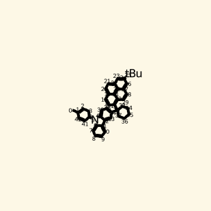 CC1=CCC(n2c3ccccc3c3cc(C4(c5ccc6ccc7cc(C(C)(C)C)cc8ccc5c6c78)CCCCC4)ccc32)C=C1